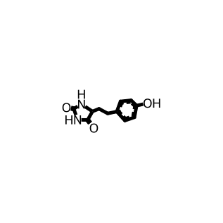 O=C1NC(=O)C(CCc2ccc(O)cc2)N1